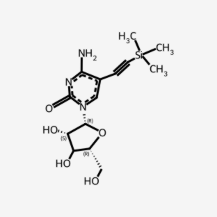 C[Si](C)(C)C#Cc1cn([C@@H]2O[C@H](CO)C(O)[C@@H]2O)c(=O)nc1N